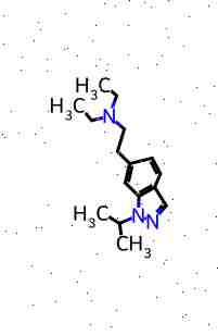 CCN(CC)CCc1ccc2cnn(C(C)C)c2c1